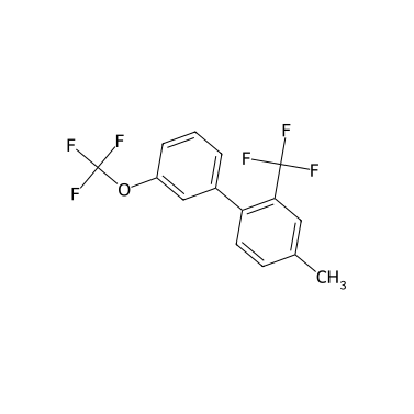 Cc1ccc(-c2cccc(OC(F)(F)F)c2)c(C(F)(F)F)c1